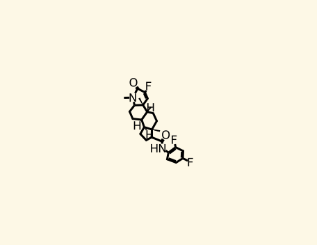 CN1C(=O)C(F)=C[C@@]2(C)C1CC[C@@H]1[C@H]2CC[C@]2(C)C(C(=O)Nc3ccc(F)cc3F)CC[C@@H]12